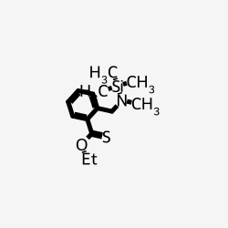 CCOC(=S)c1ccccc1CN(C)[Si](C)(C)C